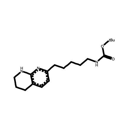 CC(C)(C)OC(=O)NCCCCCc1ccc2c(n1)NCCC2